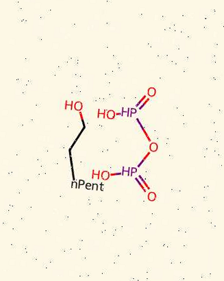 CCCCCCCO.O=[PH](O)O[PH](=O)O